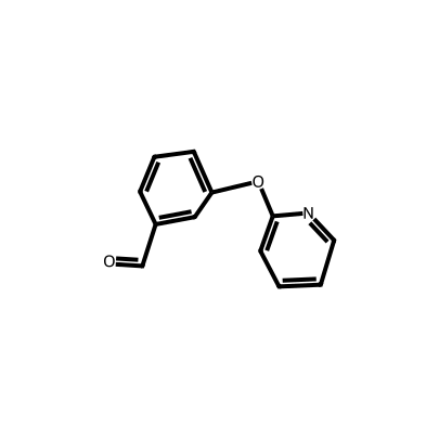 O=Cc1cccc(Oc2ccccn2)c1